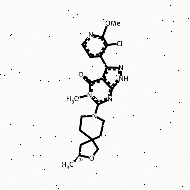 COc1nccc(-c2n[nH]c3nc(N4CCC5(CC4)CO[C@@H](C)C5)n(C)c(=O)c23)c1Cl